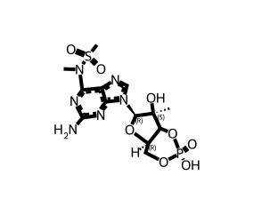 CN(c1nc(N)nc2c1ncn2[C@@H]1O[C@@H]2COP(=O)(O)OC2[C@]1(C)O)S(C)(=O)=O